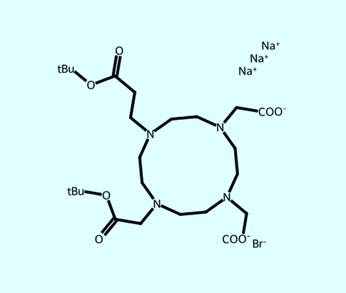 CC(C)(C)OC(=O)CCN1CCN(CC(=O)[O-])CCN(CC(=O)[O-])CCN(CC(=O)OC(C)(C)C)CC1.[Br-].[Na+].[Na+].[Na+]